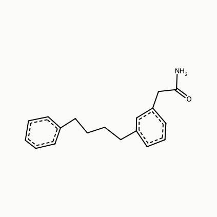 NC(=O)Cc1cccc(CCCCc2ccccc2)c1